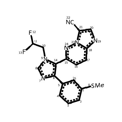 CSc1cccc(-c2ncn(CC(F)F)c2-c2ccc3ncc(C#N)n3n2)c1